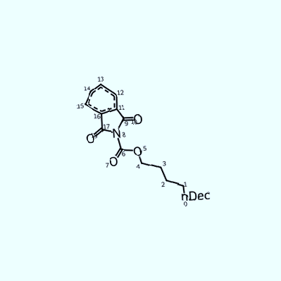 CCCCCCCCCCCCCCOC(=O)N1C(=O)c2ccccc2C1=O